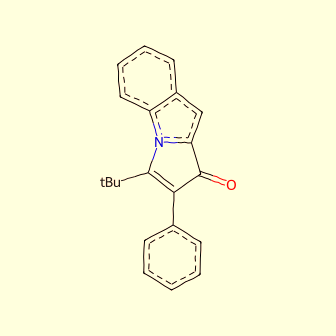 CC(C)(C)C1=C(c2ccccc2)C(=O)c2cc3ccccc3n21